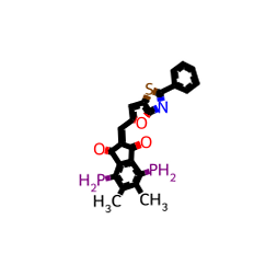 Cc1c(C)c(P)c2c(c1P)C(=O)C(=Cc1cc3sc(-c4ccccc4)nc3o1)C2=O